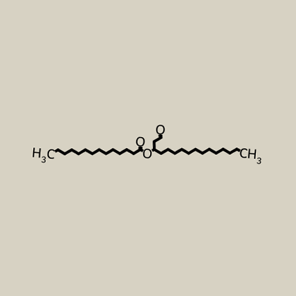 CCCCCCCCCCCCCC(=O)OC(CC=O)CCCCCCCCCCCCC